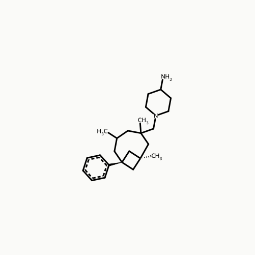 CC1CC(C)(CN2CCC(N)CC2)C[C@]2(C)C[C@@](c3ccccc3)(C1)C2